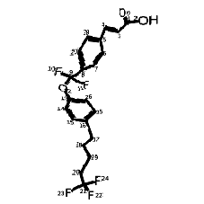 O=C(O)/C=C/c1ccc(C(F)(F)Oc2ccc(CCCCC(F)(F)F)cc2)cc1